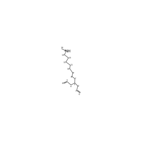 C=CCC(CC=C)CCCCCCCCNC